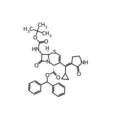 CC(C)(C)OC(=O)N[C@@H]1C(=O)N2[C@@H](C(=O)OC(c3ccccc3)c3ccccc3)C(C(=C3CCNC3=O)C3CC3)=CS[C@H]12